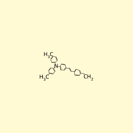 C=Cc1ccc(C=Cc2ccc(N(c3ccc(C)cc3)c3ccc(C)cc3)cc2)cc1